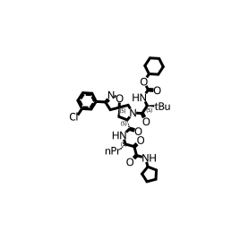 CCC[C@H](NC(=O)[C@@H]1C[C@]2(CC(c3cccc(Cl)c3)=NO2)CN1C(=O)[C@@H](NC(=O)OC1CCCCC1)C(C)(C)C)C(=O)C(=O)NC1CCCC1